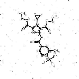 CCOC(=O)c1nn(CC(=O)c2ccc(C(F)(F)F)c(C)c2)c(C(=O)OCC)c1C1CC1